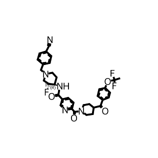 CC(F)(F)Oc1ccc(C(=O)C2CCN(C(=O)c3ccc(C(=O)N[C@@H]4CCN(Cc5ccc(C#N)cc5)C[C@H]4F)cn3)CC2)cc1